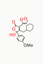 COc1ccc(C2(O)OC(=O)C(C3=CCOO3)=C2CC2CCCCC2)cc1